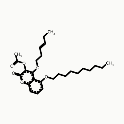 CCC=CCCOc1c(OC(C)=O)c(=O)oc2cccc(OCCCCCCCCCC)c12